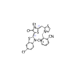 CCn1c(=O)/c(=C2\Sc3cc(Cl)ccc3N2C)s/c1=C\c1scc[n+]1Cc1ccccc1C#N